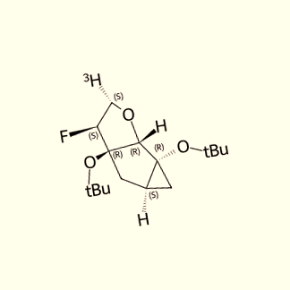 [3H][C@@H]1O[C@@H]2[C@@]3(OC(C)(C)C)C[C@H]3C[C@]2(OC(C)(C)C)[C@H]1F